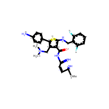 COC(=N)/C=C\C(=N)NC(=O)c1c(NCc2c(F)cccc2F)sc(-c2ccc(N)cc2)c1CN(C)C